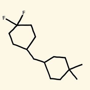 CC1(C)CCC(CC2CCC(F)(F)CC2)CC1